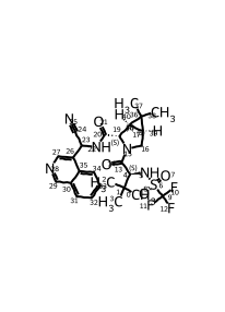 CC(C)(C)[C@H](NS(=O)(=O)C(F)(F)F)C(=O)N1C[C@H]2[C@@H]([C@H]1C(=O)NC(C#N)c1cncc3ccccc13)C2(C)C